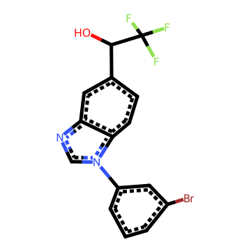 OC(c1ccc2c(c1)ncn2-c1cccc(Br)c1)C(F)(F)F